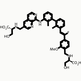 COc1cc(/C(F)=C/c2cccc(-c3cccc(Nc4nccc5cc(CN[C@H](CO)C(=O)O)cnc45)c3C)c2C)ccc1CN[C@H](CO)C(=O)O